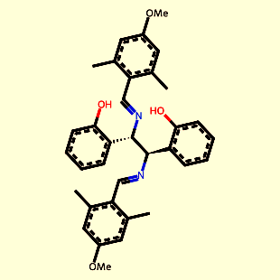 COc1cc(C)c(C=N[C@H](c2ccccc2O)[C@@H](N=Cc2c(C)cc(OC)cc2C)c2ccccc2O)c(C)c1